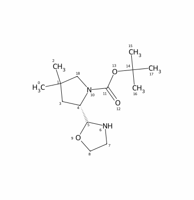 CC1(C)C[C@@H](C2NCCO2)N(C(=O)OC(C)(C)C)C1